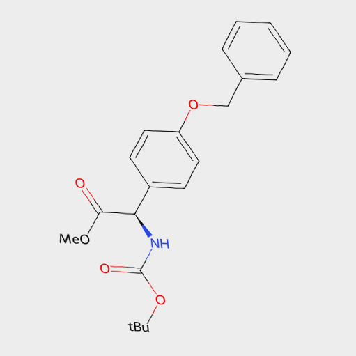 COC(=O)[C@H](NC(=O)OC(C)(C)C)c1ccc(OCc2ccccc2)cc1